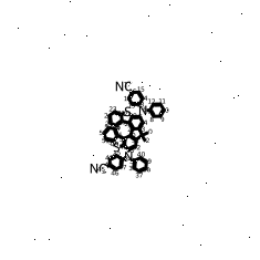 CC1(C)c2cc(N(c3ccccc3)c3ccc(C#N)cc3)c3sc4ccccc4c3c2-c2c1cc(N(c1ccccc1)c1ccc(C#N)cc1)c1sc3ccccc3c21